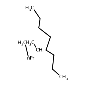 CC.CCCC.CCCCCCCC